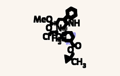 C=C(/C=C\C(=C/C)C(=O)OCC1(C)CC1)[C@H]1c2[nH]c3ccccc3c2C[C@H](C(=O)OC)N1C(=O)CCl